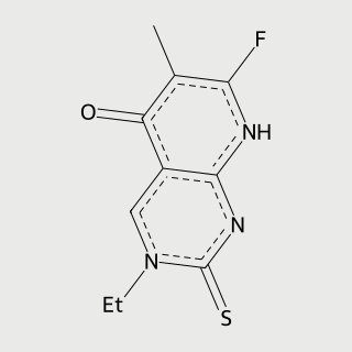 CCn1cc2c(=O)c(C)c(F)[nH]c2nc1=S